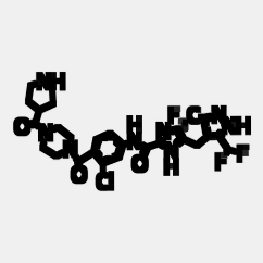 O=C(Nc1ccc(C(=O)N2CCN(C(=O)C3CCNCC3)CC2)c(Cl)c1)c1ncc(Cc2c(C(F)(F)F)n[nH]c2C(F)F)[nH]1